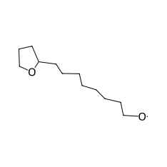 [O]CCCCCCCCC1CCCO1